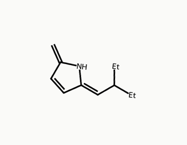 C=c1cc/c(=C/C(CC)CC)[nH]1